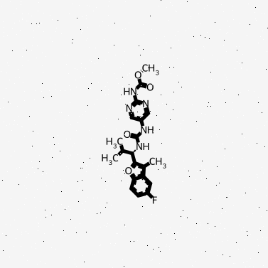 COC(=O)Nc1ncc(NC(=O)N[C@H](c2oc3ccc(F)cc3c2C)C(C)C)cn1